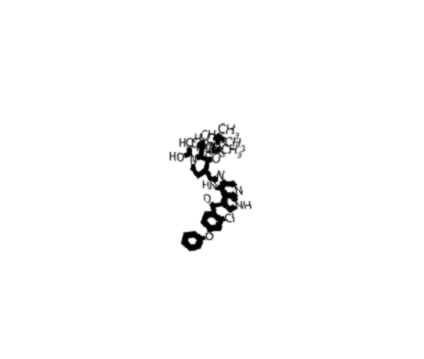 CC(C)(C)C1C(O[Si](C)(C)C(C)(C)C)C(c2nc3cnc4[nH]cc(C(=O)c5ccc(Oc6ccccc6)cc5Cl)c4c3[nH]2)CCN1C(=O)O